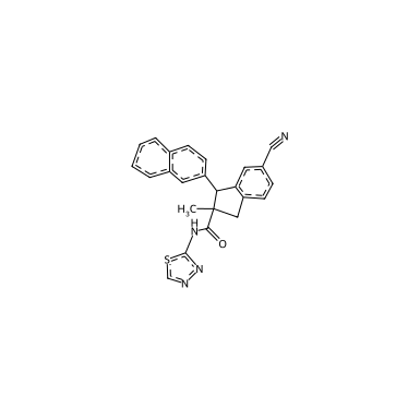 CC1(C(=O)Nc2nncs2)Cc2ccc(C#N)cc2C1c1ccc2ccccc2c1